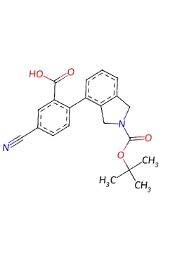 CC(C)(C)OC(=O)N1Cc2cccc(-c3ccc(C#N)cc3C(=O)O)c2C1